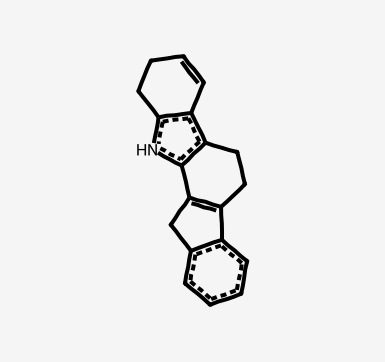 C1=Cc2c([nH]c3c2CCC2=C3Cc3ccccc32)CC1